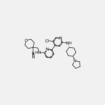 N#CC1(CNc2cccc(-c3cc(N[C@H]4CC[C@H](N5CCCC5)CC4)ncc3Cl)n2)CCOCC1